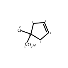 O=C(O)C1(Cl)CC=CC1